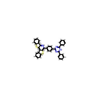 c1ccc(-c2nc(-c3ccccc3)nc(-c3ccc(-c4nc5c6ccccc6sc5c5c4sc4ccccc45)cc3)n2)cc1